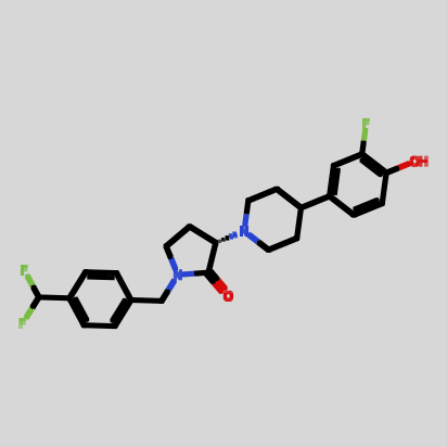 O=C1[C@@H](N2CCC(c3ccc(O)c(F)c3)CC2)CCN1Cc1ccc(C(F)F)cc1